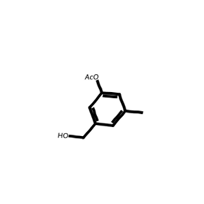 CC(=O)Oc1cc(C)cc(CO)c1